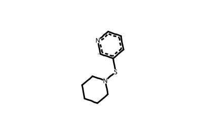 [c]1ncccc1SN1CCCCC1